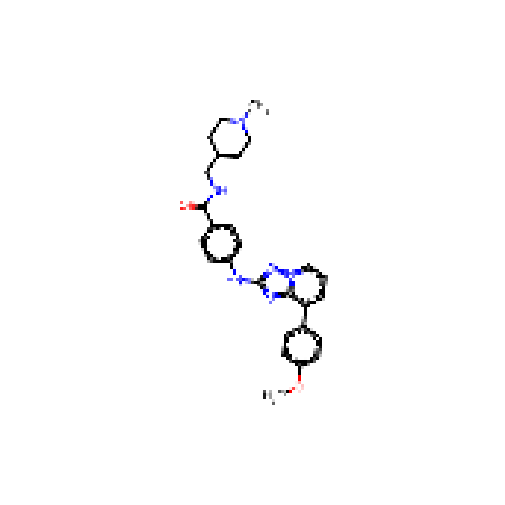 COc1ccc(-c2cccn3nc(Nc4ccc(C(=O)NCC5CCN(C)CC5)cc4)nc23)cc1